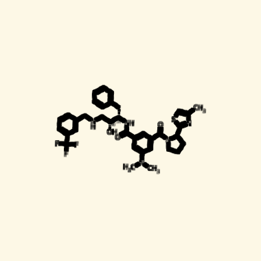 Cc1csc(C2CCCN2C(=O)c2cc(C(=O)N[C@@H](Cc3ccccc3)[C@H](O)CNCc3cccc(C(F)(F)F)c3)cc(N(C)C)c2)n1